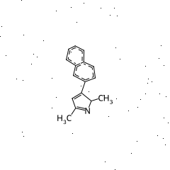 CC1=NC(C)C(c2ccc3ccccc3c2)=C1